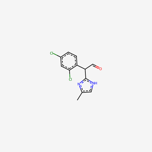 Cc1c[nH]c(C(C=O)c2ccc(Cl)cc2Cl)n1